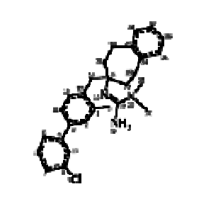 Cc1cc(-c2cccc(Cl)c2)ccc1CC1(/N=C(/N)N(C)C)CCc2ccccc2CC1